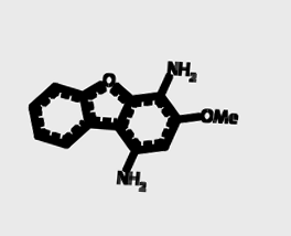 COc1cc(N)c2c(oc3ccccc32)c1N